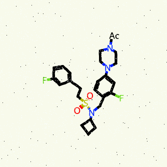 CC(=O)N1CCN(c2ccc(CN(C3CCC3)S(=O)(=O)CCc3cccc(F)c3)c(F)c2)CC1